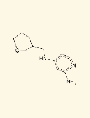 Nc1cc(NCC2CCCOC2)ccn1